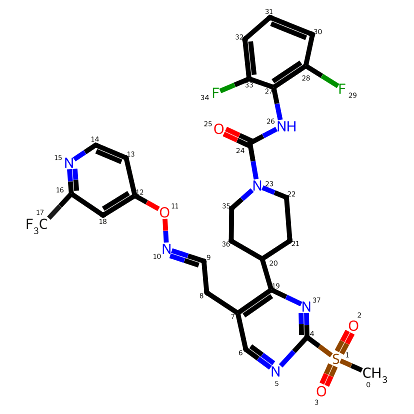 CS(=O)(=O)c1ncc(CC=NOc2ccnc(C(F)(F)F)c2)c(C2CCN(C(=O)Nc3c(F)cccc3F)CC2)n1